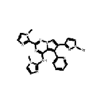 CC(C)n1ccc(-c2cn3nc(-c4nccn4C)nc(Nc4nccn4C)c3c2-c2ccccn2)n1